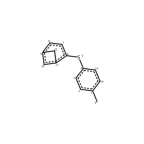 Cc1ccc(Sc2ccc3cc2C3)cc1